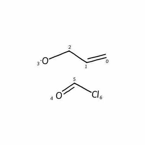 C=CC[O].O=CCl